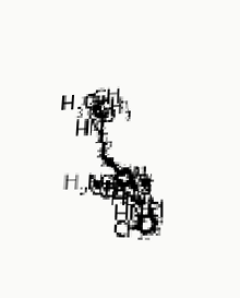 CN.COc1cc2c(NC(=O)Nc3c(Cl)cccc3Cl)ncnc2cc1C#CCCCCNC(=O)OC(C)(C)C